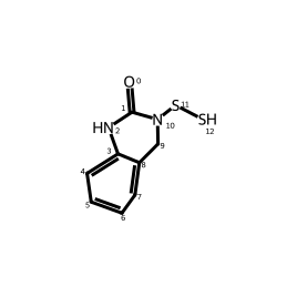 O=C1Nc2ccccc2CN1SS